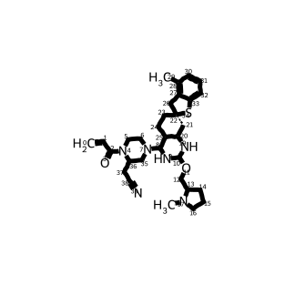 C=CC(=O)N1CCN(C2NC(OCC3CCCN3C)NC3C[C@]4(CCC32)Cc2c(C)cccc2S4)CC1CC#N